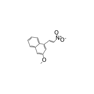 COc1cc(C=C[N+](=O)[O-])c2ccccc2c1